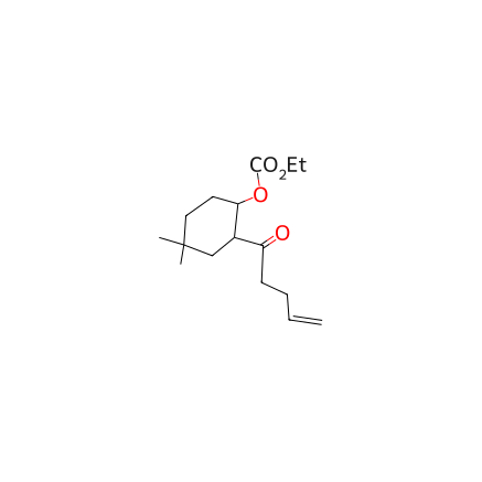 C=CCCC(=O)C1CC(C)(C)CCC1OC(=O)OCC